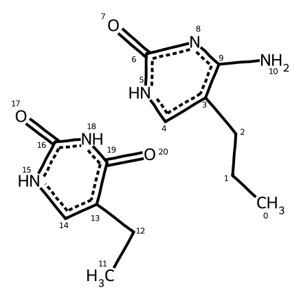 CCCc1c[nH]c(=O)nc1N.CCc1c[nH]c(=O)[nH]c1=O